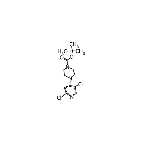 CC(C)(C)OC(=O)N1CCN(c2cc(Cl)ncc2Cl)CC1